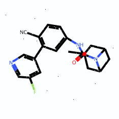 CC1CC2CC(C1)N2C(=O)Nc1ccc(C#N)c(-c2cncc(F)c2)c1